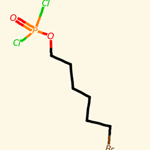 O=P(Cl)(Cl)OCCCCCCBr